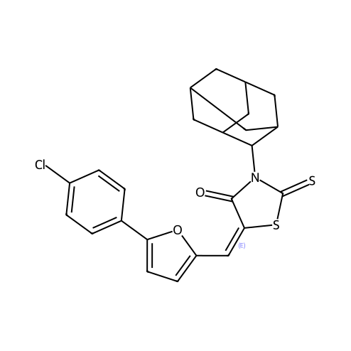 O=C1/C(=C\c2ccc(-c3ccc(Cl)cc3)o2)SC(=S)N1C1C2CC3CC(C2)CC1C3